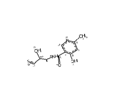 Cc1cc(O)c(C(=O)NCC(O)C=S)cn1